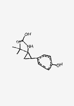 CC(C)(C)C1(NC(=O)O)CC1c1ccc(O)cc1